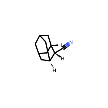 N#C[C@H]1[C@H]2CC3CC(C2)C[C@H]1C3